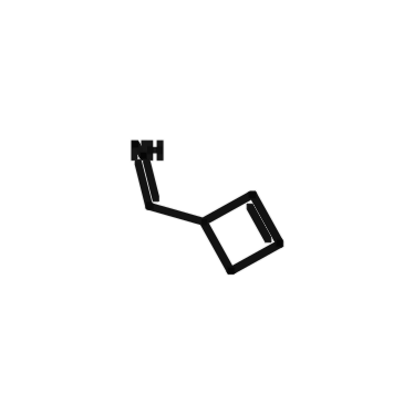 N=CC1C=CC1